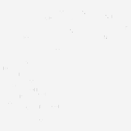 O=c1nc2[nH]c(F)nc2cn1[C@@H]1O[C@H](COP(=O)(O)OP(=O)(O)OP(=O)(O)O)C(O)[C@@H]1O